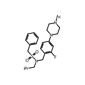 CC(=O)N1CCN(c2ccc(CN(CC(C)C)S(=O)(=O)Cc3ccccc3)c(F)c2)CC1